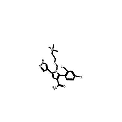 C[Si](C)(C)CCOCn1c(-c2cn[nH]c2)cc(C(N)=O)c1-c1ccc(Cl)cc1Cl